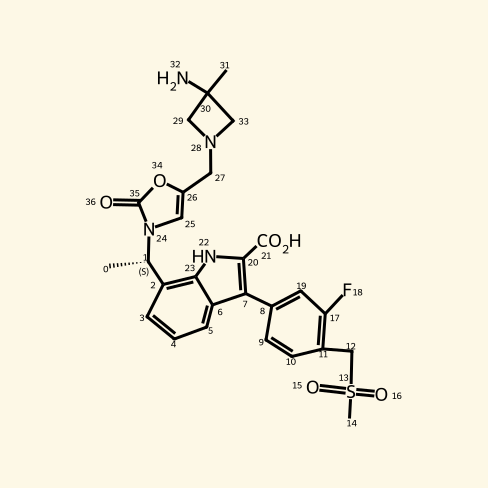 C[C@@H](c1cccc2c(-c3ccc(CS(C)(=O)=O)c(F)c3)c(C(=O)O)[nH]c12)n1cc(CN2CC(C)(N)C2)oc1=O